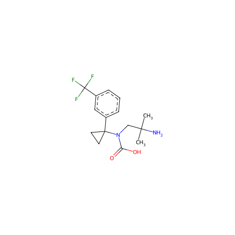 CC(C)(N)CN(C(=O)O)C1(c2cccc(C(F)(F)F)c2)CC1